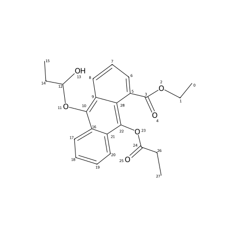 CCOC(=O)c1cccc2c(OC(O)CC)c3ccccc3c(OC(=O)CC)c12